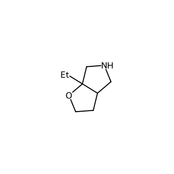 CCC12CNCC1CCO2